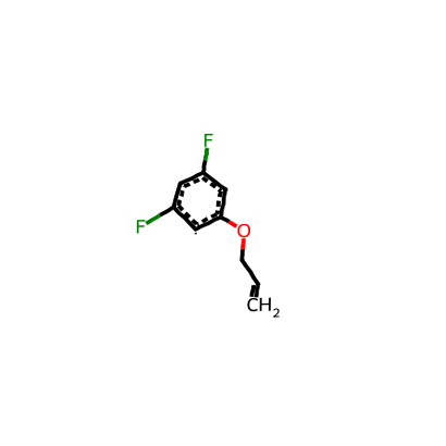 C=CCOc1[c]c(F)cc(F)c1